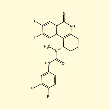 CN(C(=O)Nc1ccc(F)c(Cl)c1)[C@H]1CCCc2[nH]c(=O)c3cc(F)c(F)cc3c21